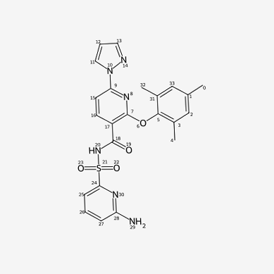 Cc1cc(C)c(Oc2nc(-n3cccn3)ccc2C(=O)NS(=O)(=O)c2cccc(N)n2)c(C)c1